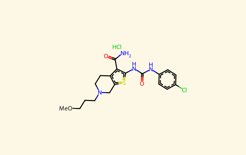 COCCCN1CCc2c(sc(NC(=O)Nc3ccc(Cl)cc3)c2C(N)=O)C1.Cl